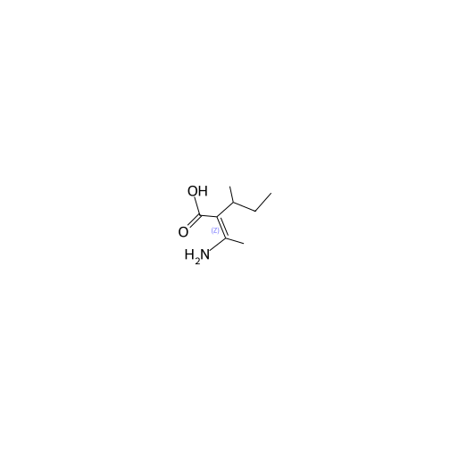 CCC(C)/C(C(=O)O)=C(\C)N